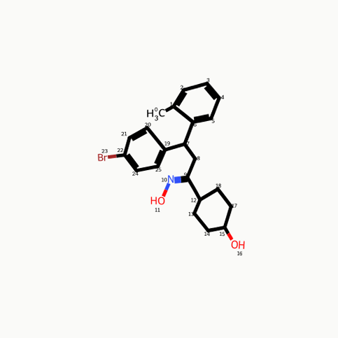 Cc1ccccc1C(CC(=NO)C1CCC(O)CC1)c1ccc(Br)cc1